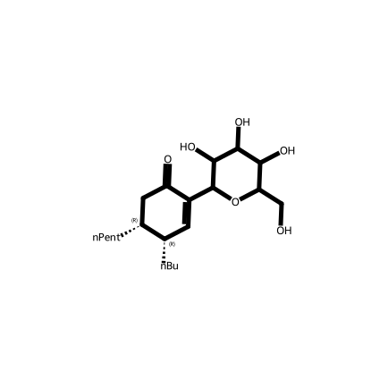 CCCCC[C@@H]1CC(=O)C(C2OC(CO)C(O)C(O)C2O)=C[C@@H]1CCCC